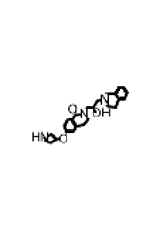 O=C1c2ccc(OC3CCNC3)cc2CCN1CC(O)CN1CCc2ccccc2C1